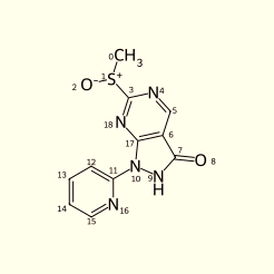 C[S+]([O-])c1ncc2c(=O)[nH]n(-c3ccccn3)c2n1